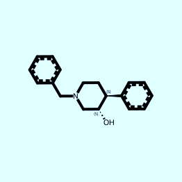 O[C@@H]1CN(Cc2ccccc2)CC[C@H]1c1ccccc1